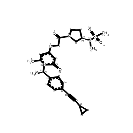 Cc1cc(OCC(=O)N2CC[C@@H](N(C)S(C)(=O)=O)C2)cc(=O)n1[C@H](C)c1ccc(C#CC2CC2)cc1